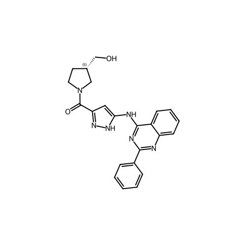 O=C(c1cc(Nc2nc(-c3ccccc3)nc3ccccc23)[nH]n1)N1CC[C@H](CO)C1